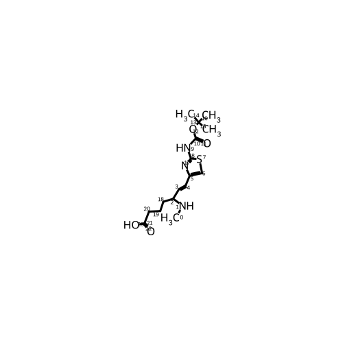 CNC(/C=C/c1csc(NC(=O)OC(C)(C)C)n1)CCCC(=O)O